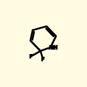 FC1(F)C=CC=C[AtH]1